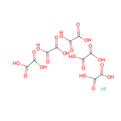 F.O=C(O)C(=O)O.O=C(O)C(=O)O.O=C(O)C(=O)O.O=C(O)C(=O)O.O=C(O)C(=O)O